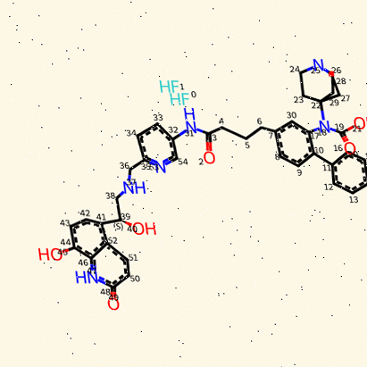 F.F.O=C(CCCc1ccc(-c2ccccc2)c(N(C(=O)O)C23CCN(CC2)CC3)c1)Nc1ccc(CNC[C@@H](O)c2ccc(O)c3[nH]c(=O)ccc23)nc1